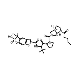 CCCCC(=O)N1CC[C@@H]2CN(C(=O)[C@@H]3CCCN3C(=O)C(NC(=O)c3cc4cc(C(F)(F)P(=O)(O)O)ccc4s3)C(C)(C)C)C[C@@H]21